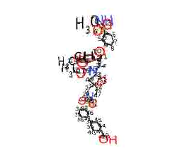 CNS(=O)(=O)c1cccc(OC[C@@H](O)CN(C(=O)OC(C)(C)C)C2COC3(CCN(S(=O)(=O)c4cccc(-c5ccc(CO)cc5)c4)CC3)C2)c1